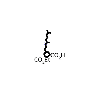 CCOC(=O)C1CC=C(CC/C=C(\C)CCC=C(C)C)CC1C(=O)O